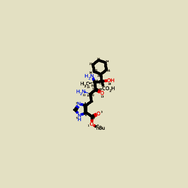 CCCCOC(=O)c1[nH]cnc1C[C@H](N)C(=O)[C@@](C)(N)C(O)(C(=O)O)C1CCCCC1